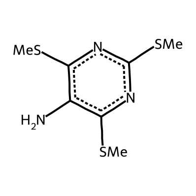 CSc1nc(SC)c(N)c(SC)n1